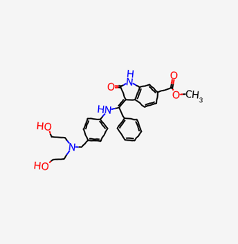 COC(=O)c1ccc2c(c1)NC(=O)/C2=C(\Nc1ccc(CN(CCO)CCO)cc1)c1ccccc1